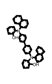 Oc1ccccc1N(c1ccc(-c2ccc(N(c3ccccc3O)c3cccc4ccccc34)cc2)cc1)c1cccc2ccccc12